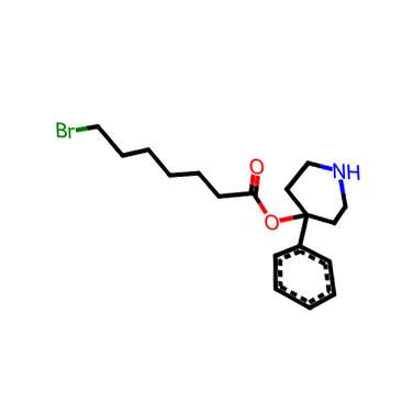 O=C(CCCCCCBr)OC1(c2ccccc2)CCNCC1